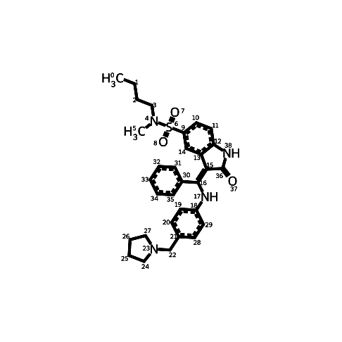 CCCCN(C)S(=O)(=O)c1ccc2c(c1)/C(=C(/Nc1ccc(CN3CCCC3)cc1)c1ccccc1)C(=O)N2